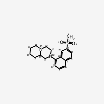 NS(=O)(=O)c1ccc2ccnc(N3CCN4CCCCC4C3)c2c1